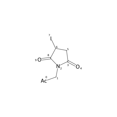 CC(=O)CN1C(=O)CC(I)C1=O